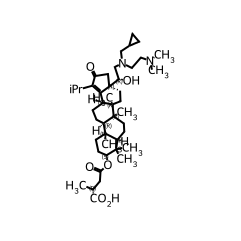 CC(C)C1=C2[C@H]3CC[C@@H]4[C@@]5(C)CC[C@H](OC(=O)C[C@@H](C)C(=O)O)C(C)(C)[C@@H]5CC[C@@]4(C)[C@]3(C)CC[C@@]2([C@@H](O)CN(CCN(C)C)CC2CC2)CC1=O